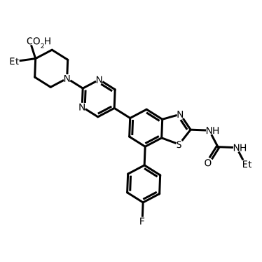 CCNC(=O)Nc1nc2cc(-c3cnc(N4CCC(CC)(C(=O)O)CC4)nc3)cc(-c3ccc(F)cc3)c2s1